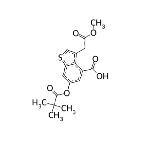 COC(=O)Cc1csc2cc(OC(=O)C(C)(C)C)cc(C(=O)O)c12